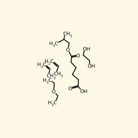 C=CC.C=CC.CC(C)COC(=O)CCCCC(=O)O.CCOCC.OCCO